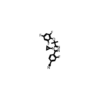 CC(C)(Oc1c(F)cc(F)cc1F)c1nnc(-c2ccc(C#N)cc2F)n1C1CC1